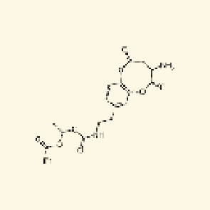 CC(OC(=O)NCCc1ccc2c(c1)OC(=O)C(N)CC(=O)O2)OC(=O)C(C)C